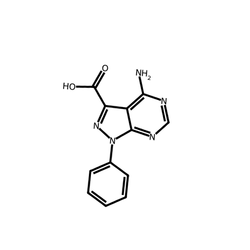 Nc1ncnc2c1c(C(=O)O)nn2-c1ccccc1